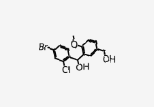 COc1ccc(CO)cc1C(O)c1ccc(Br)cc1Cl